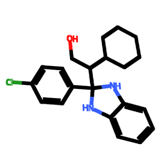 OCC(C1CCCCC1)C1(c2ccc(Cl)cc2)Nc2ccccc2N1